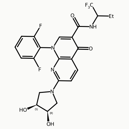 CCC(NC(=O)c1cn(-c2c(F)cccc2F)c2nc(N3C[C@@H](O)[C@@H](O)C3)ccc2c1=O)C(F)(F)F